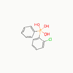 OP(O)(O)(c1ccccc1)c1ccccc1Cl